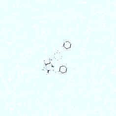 COc1ccc(Cn2nc(N[C@@H]3CCCN(Cc4ccccc4)C3)c(=O)n(C)c2=O)cc1